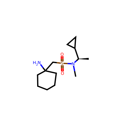 C[C@H](C1CC1)N(C)S(=O)(=O)CC1(N)CCCCC1